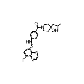 CC(C)CC1(O)CCN(C(=O)c2ccc(NSc3ccc(F)c4nccnc34)cc2)CC1